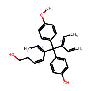 C=C/C(=C\C)C(C(/C=C\CCO)=C/C)(c1ccc(O)cc1)c1ccc(OC)cc1